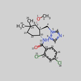 CO[C@@H]1[C@@H](Cn2cncn2)[C@H](NC(=O)c2ccc(Cl)cc2Cl)CCC1(C)C